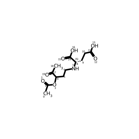 CC(=O)OC(CCN[C@@H](CCC(=O)O)C(=O)O)C(C)=O